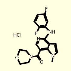 Cl.Cn1ccc2c(Nc3cc(F)ccc3F)ncc(C(=O)N3CCOCC3)c21